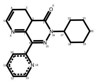 O=C1C2CC=CN=C2C(c2ccccn2)=NN1C1CCCCC1